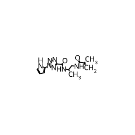 C=C(C)C(=O)NCC(C)NC(=O)c1nnn(-c2ccc[nH]2)n1